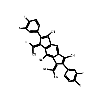 N#CC(C#N)=C1C(c2ccc(F)c(F)c2)=C(C#N)c2cc3c(c(C#N)c21)C(=C(C#N)C#N)C(c1ccc(F)c(F)c1)=C3C#N